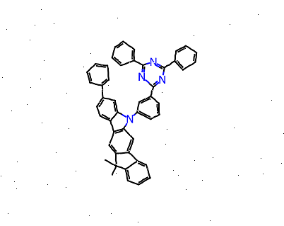 CC1(C)c2ccccc2-c2cc3c(cc21)c1ccc(-c2ccccc2)cc1n3-c1cccc(-c2nc(-c3ccccc3)nc(-c3ccccc3)n2)c1